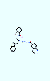 O=C(NNC(=S)N[C@@H](Cc1csc2ccccc12)CN1C(=O)c2ccccc2C1=O)c1ccc2cnccc2c1